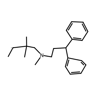 C[CH]C(C)(C)CN(C)CCC(c1ccccc1)c1ccccc1